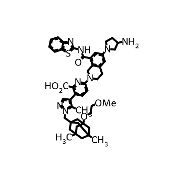 COCCOC12CC3(C)CC(C)(CC(Cn4ncc(-c5ccc(N6CCc7cc(N8CCC(N)C8)cc(C(=O)Nc8nc9ccccc9s8)c7C6)nc5C(=O)O)c4C)(C3)C1)C2